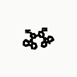 CC12C=CC=CC1N(c1cc(C#N)cc(-c3cc(C#N)cc(-n4c5ccccc5c5ccccc54)c3)c1)c1ccccc12